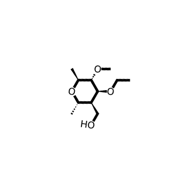 CCO[C@H]1[C@@H](CO)[C@H](C)O[C@@H](C)[C@@H]1OC